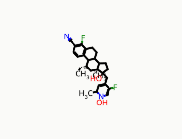 CC[C@H]1C[C@@]2(C)C(CC[C@@]2(O)CC2=CC(C)N(O)C=C2F)C2CCc3c(ccc(C#N)c3F)C21